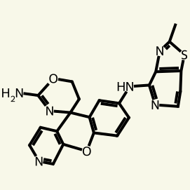 Cc1nc2c(Nc3ccc4c(c3)C3(CCOC(N)=N3)c3ccncc3O4)nccc2s1